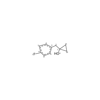 OC1(Cc2ccc(F)cc2)CC1